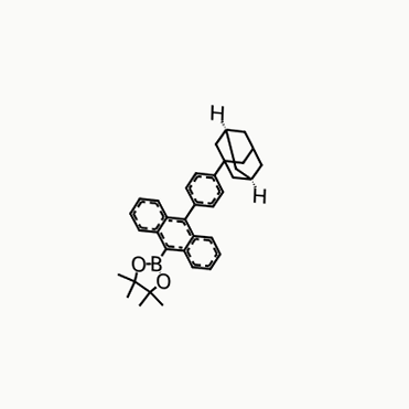 CC1(C)OB(c2c3ccccc3c(-c3ccc(C45CC6C[C@H](C4)C[C@@H](C6)C5)cc3)c3ccccc23)OC1(C)C